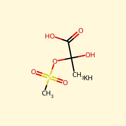 CC(O)(OS(C)(=O)=O)C(=O)O.[KH]